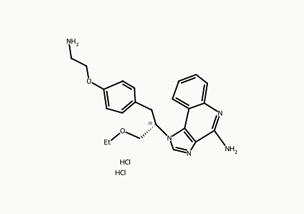 CCOC[C@H](Cc1ccc(OCCN)cc1)n1cnc2c(N)nc3ccccc3c21.Cl.Cl